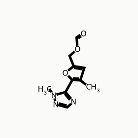 Cc1cc(COC=O)oc1-c1ncnn1C